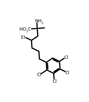 CCC(CCCc1cc(Cl)c(Cl)c(Cl)c1Cl)CC(C)(N)C(=O)O